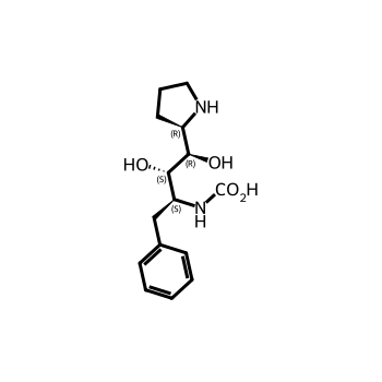 O=C(O)N[C@@H](Cc1ccccc1)[C@H](O)[C@H](O)[C@H]1CCCN1